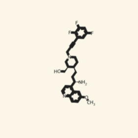 COc1ccc2nccc([C@@H](N)CC[C@@H]3CCN(CC#Cc4cc(F)cc(F)c4F)C[C@@H]3CO)c2c1